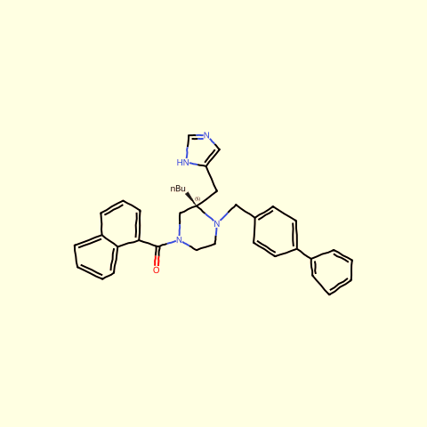 CCCC[C@]1(Cc2cnc[nH]2)CN(C(=O)c2cccc3ccccc23)CCN1Cc1ccc(-c2ccccc2)cc1